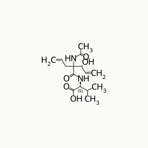 C=CCC(NC(C)=O)(C(=O)N[C@H](C(=O)O)C(C)C)C(O)C=C